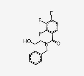 O=C(c1ccc(F)c(F)c1F)N(CCO)Cc1ccccc1